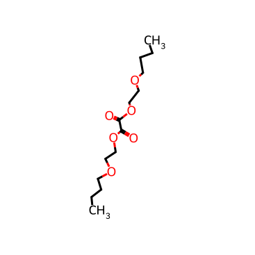 CCCCOCCOC(=O)C(=O)OCCOCCCC